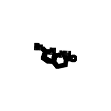 O=C1CCc2ccc(Br)nc2N1